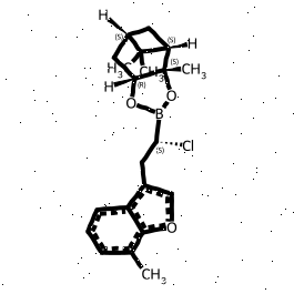 Cc1cccc2c(C[C@@H](Cl)B3O[C@@H]4C[C@@H]5C[C@@H](C5(C)C)[C@]4(C)O3)coc12